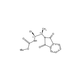 CC[C@H](NC(=O)OC(C)(C)C)[C@@H](C)N1C(=O)c2ccccc2C1=O